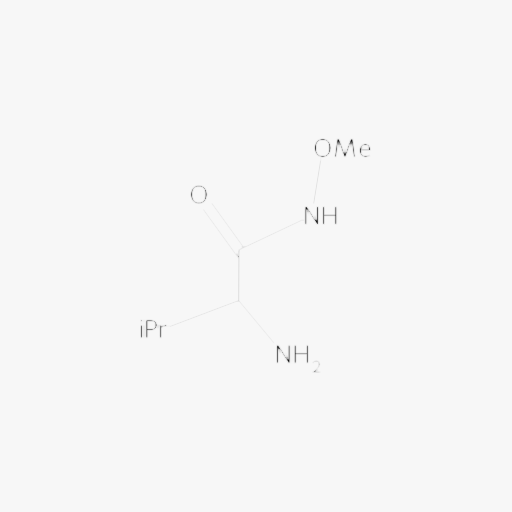 CONC(=O)C(N)C(C)C